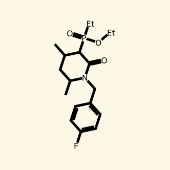 CCOP(=O)(CC)C1C(=O)N(Cc2ccc(F)cc2)C(C)CC1C